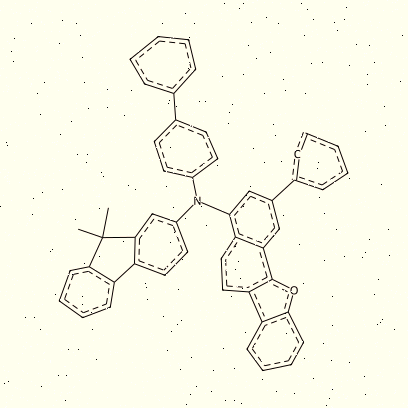 CC1(C)c2ccccc2-c2ccc(N(c3ccc(-c4ccccc4)cc3)c3cc(-c4ccccc4)cc4c3ccc3c5ccccc5oc43)cc21